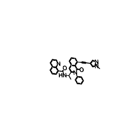 CC(NC(=O)c1cccc2cccnc12)c1cc2cccc(C#Cc3cnn(C)c3)c2c(=O)n1-c1ccccc1